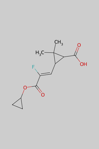 CC1(C)C(C=C(F)C(=O)OC2CC2)C1C(=O)O